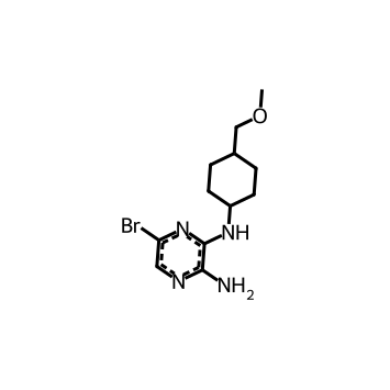 COCC1CCC(Nc2nc(Br)cnc2N)CC1